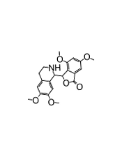 COc1cc(OC)c2c(c1)C(=O)OC2C1NCCc2cc(OC)c(OC)cc21